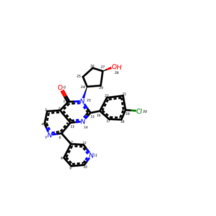 O=c1c2ccnc(-c3cccnc3)c2nc(-c2ccc(Cl)cc2)n1[C@H]1CC[C@@H](O)C1